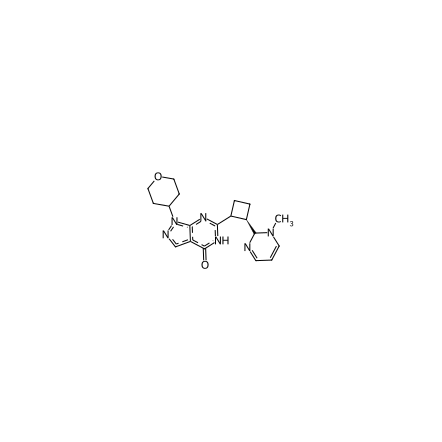 CN1C=CC=NC1[C@@H]1CCC1c1nc2c(cnn2C2CCOCC2)c(=O)[nH]1